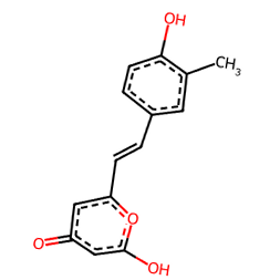 Cc1cc(/C=C/c2cc(=O)cc(O)o2)ccc1O